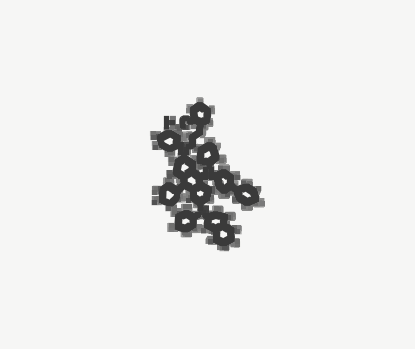 C=c1cccc/c1=C/C=C/N(C1=CC=CCC1)c1ccc2c(C3=CC=CCC3)c3cc(N(c4ccccc4)c4ccc5ccccc5c4)ccc3c(N(c3ccccc3)c3ccc(-c4ccccc4)cc3)c2c1